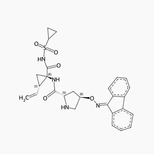 C=C[C@@H]1C[C@]1(NC(=O)[C@@H]1C[C@@H](ON=C2c3ccccc3-c3ccccc32)CN1)C(=O)NS(=O)(=O)C1CC1